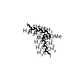 COC(CCCC(C)CC(C)CC(C)CC(C)CC(C)CC(C)CCCI)OC(CCCC(C)CC(C)CC(C)CC(C)CC(C)CC(C)CCCI)OC